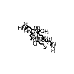 CSCCC(N)C(=O)NC(C)CC(=O)NC(Cc1c[nH]cn1)C(=O)NC(CCC(=O)NC(C)Cc1c[nH]cn1)C(=O)O